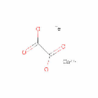 O=C([O-])C(=O)[O-].[Co+2].[Fe]